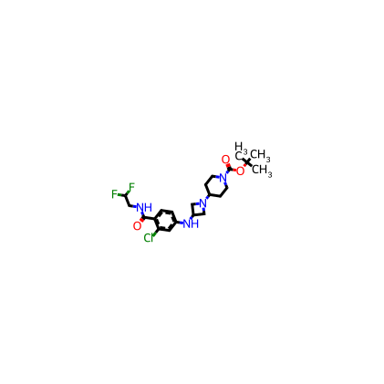 CC(C)(C)OC(=O)N1CCC(N2CC(Nc3ccc(C(=O)NCC(F)F)c(Cl)c3)C2)CC1